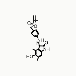 CNS(=O)(=O)Cc1ccc(N/N=C2\C(=O)Nc3cc(C)c(O)c(C)c32)cc1